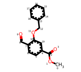 COC(=O)c1ccc(C=O)c(OCc2ccccc2)c1